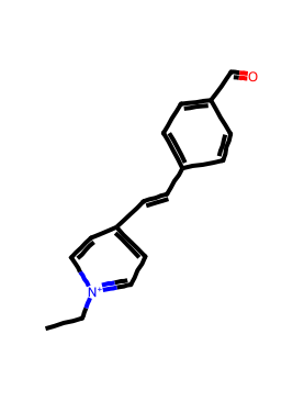 CC[n+]1ccc(/C=C/c2ccc(C=O)cc2)cc1